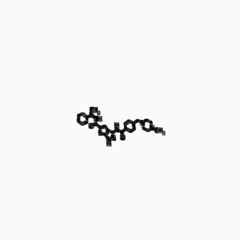 CN1CCN(Cc2ccc(C(=O)Nc3n[nH]c4sc(C(=O)NN(C)c5ccccc5)cc34)cc2)CC1